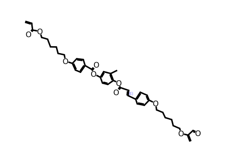 C=CC(=O)OCCCCCCOc1ccc(C(=O)Oc2ccc(OC(=O)/C=C/c3ccc(OCCCCCCOC(=C)C=O)cc3)c(C)c2)cc1